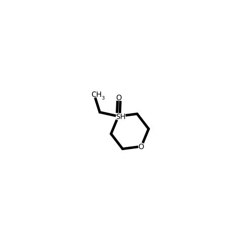 CC[SH]1(=O)CCOCC1